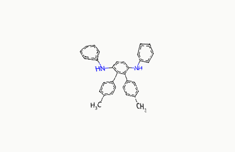 Cc1ccc(-c2c(Nc3ccccc3)ccc(Nc3ccccc3)c2-c2ccc(C)cc2)cc1